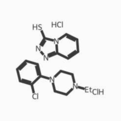 CCN1CCN(c2ccccc2Cl)CC1.Cl.Cl.Sc1nnc2ccccn12